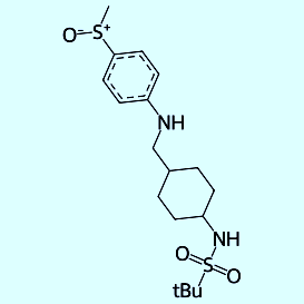 C[S+]([O-])c1ccc(NCC2CCC(NS(=O)(=O)C(C)(C)C)CC2)cc1